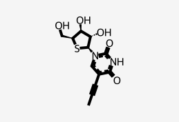 CC#Cc1cn([C@H]2S[C@@H](CO)[C@@H](O)[C@@H]2O)c(=O)[nH]c1=O